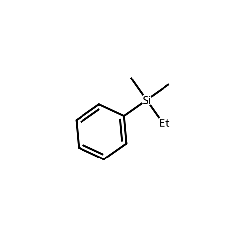 CC[Si](C)(C)c1ccccc1